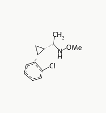 CONC(C)[C@H]1C[C@H]1c1ccccc1Cl